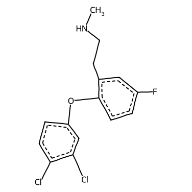 CNCCc1cc(F)ccc1Oc1ccc(Cl)c(Cl)c1